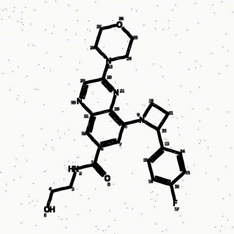 O=C(NCCO)c1cc(N2CCC2c2ccc(F)cc2)c2nc(N3CCOCC3)cnc2c1